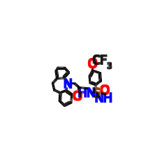 N=S(=O)(NCC(=O)CN1c2ccccc2CCc2ccccc21)c1ccc(OC(F)(F)F)cc1